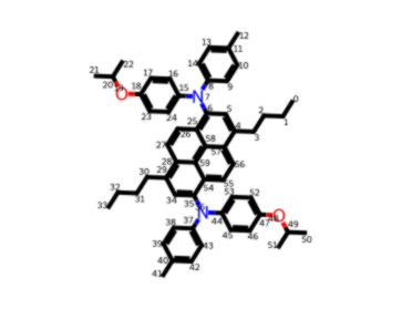 CCCCc1cc(N(c2ccc(C)cc2)c2ccc(OC(C)C)cc2)c2ccc3c(CCCC)cc(N(c4ccc(C)cc4)c4ccc(OC(C)C)cc4)c4ccc1c2c34